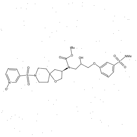 CNS(=O)(=O)c1cccc(OCC(O)CN(C(=O)OC(C)(C)C)[C@H]2COC3(CCN(S(=O)(=O)c4ccc[n+]([O-])c4)CC3)C2)c1